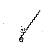 CCCCCCCCCCCCCCCCOCC(C[CH]C1CC2CCC(C1)[N+]2(C)C)OC(C)=O